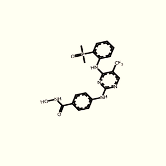 CP(C)(=O)c1ccccc1Nc1nc(Nc2ccc(C(=O)NO)cc2)ncc1C(F)(F)F